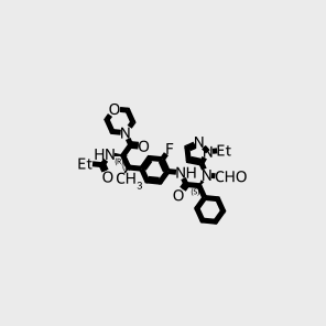 CCC(=O)N[C@@H](C(=O)N1CCOCC1)[C@@H](C)c1ccc(NC(=O)[C@H](C2CCCCC2)N(C=O)c2ccnn2CC)c(F)c1